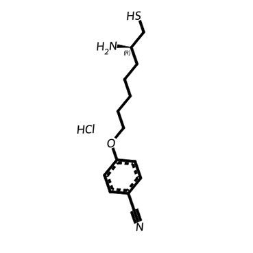 Cl.N#Cc1ccc(OCCCCC[C@@H](N)CS)cc1